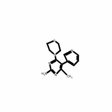 Cc1nc(N)nc(N2CCSCC2)c1-c1cccnc1